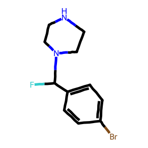 FC(c1ccc(Br)cc1)N1CCNCC1